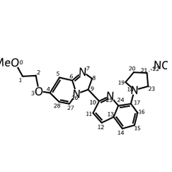 COCCOC1=CC2=NCC(c3ccc4cccc(N5CC[C@H](N=O)C5)c4n3)N2C=C1